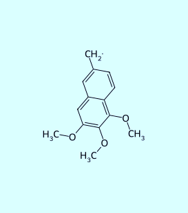 [CH2]c1ccc2c(OC)c(OC)c(OC)cc2c1